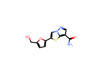 NC(=O)c1cnn2cc(-c3ccc(CO)o3)sc12